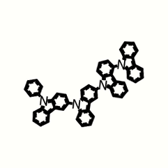 c1ccc(-n2c3ccccc3c3cc(-n4c5ccccc5c5cc(-n6c7ccccc7c7c(-n8c9ccccc9c9ccccc98)cccc76)ccc54)ccc32)cc1